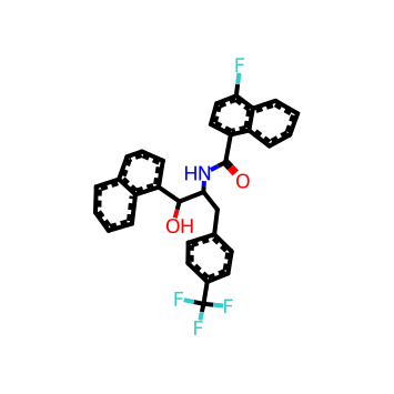 O=C(NC(Cc1ccc(C(F)(F)F)cc1)C(O)c1cccc2ccccc12)c1ccc(F)c2ccccc12